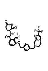 CN(C(=O)c1cccc(OCc2ccc(CN3CCn4cc(C(F)(F)F)nc4C3)cc2)c1C=O)C1CCC(=O)NC1=O